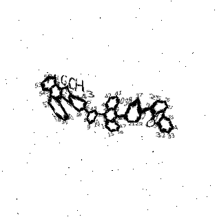 CC1(C)c2ccc(-c3cccc(-c4c5ccccc5c(-c5ccc(-c6cccc7c6oc6ccccc67)cc5)c5ccccc45)c3)cc2-c2c1c1ccccc1c1ccccc21